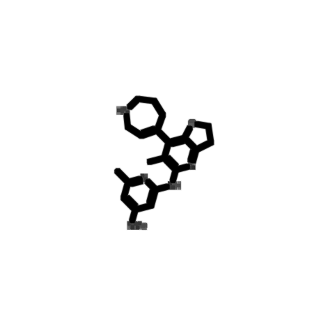 CNc1cc(C)nc(Nc2nc3c(c(C4=CCNCCC4)c2C)OCC3)c1